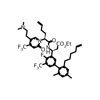 C=CCCCCc1cc(C)cc(C)c1-c1cc([C@H](CC(=O)OCC)NC(=O)[C@H](CCC=C)n2cc(CCN(C)C)c(C(F)(F)F)cc2=O)c(F)c(C(F)(F)F)c1